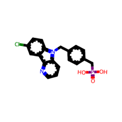 O=P(O)(O)Cc1ccc(Cn2c3ccc(Cl)cc3c3ncccc32)cc1